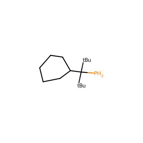 CC(C)(C)C(P)(C1CCCCC1)C(C)(C)C